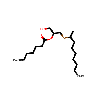 CCCCCCCCCCCCCCCCC(C)SCC(CO)OC(=O)CCCCCCCCCCCCCCC